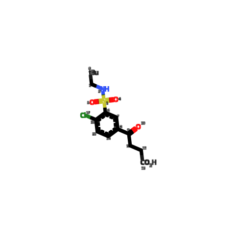 CC(C)(C)CNS(=O)(=O)c1cc(C(=O)CCC(=O)O)ccc1Cl